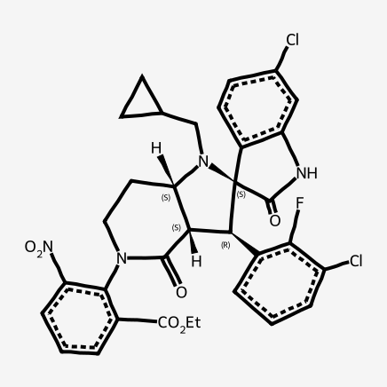 CCOC(=O)c1cccc([N+](=O)[O-])c1N1CC[C@H]2[C@@H](C1=O)[C@H](c1cccc(Cl)c1F)[C@]1(C(=O)Nc3cc(Cl)ccc31)N2CC1CC1